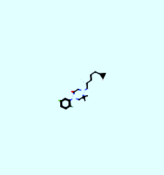 CC1(C)CN(c2cc(F)ccc2Cl)C(=O)CN1C[C@H](N)[C@@H](O)C[C@H](C(=O)O)C1CC1